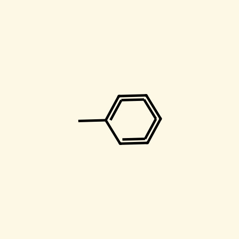 CC1=C=C=C=C=C1